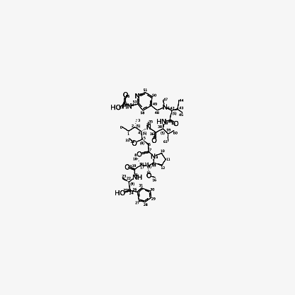 CC[C@H](C)[C@@H]([C@@H](CC(=O)N1CCC[C@H]1[C@H](OC)[C@@H](C)C(=O)N[C@H](C)[C@H](O)c1ccccc1)OC)N(C)C(=O)[C@@H](NC(=O)[C@H](C(C)C)N(C)Cc1ccnc(NC(=O)O)c1)C(C)C